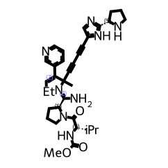 CC/C=C(/c1cccnc1)C(C)(C#CC#Cc1cnc([C@@H]2CCCN2)[nH]1)/N=C(\N)[C@@H]1CCCN1C(=O)[C@@H](NC(=O)OC)C(C)C